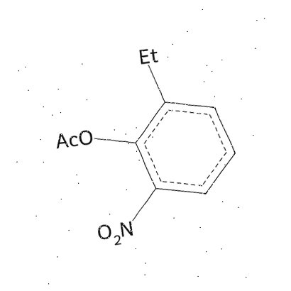 CCc1cccc([N+](=O)[O-])c1OC(C)=O